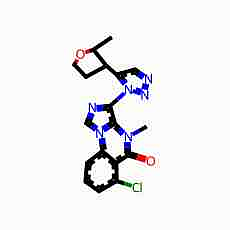 CC1OCCC1c1cnnn1-c1ncn2c3cccc(Cl)c3c(=O)n(C)c12